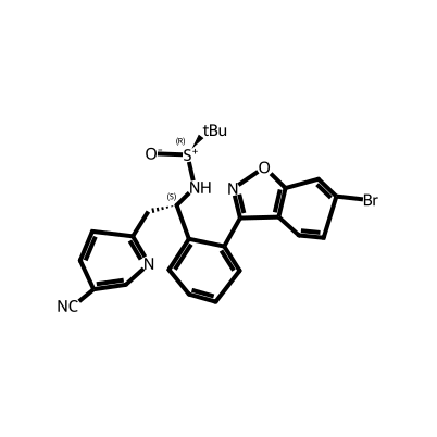 CC(C)(C)[S@+]([O-])N[C@@H](Cc1ccc(C#N)cn1)c1ccccc1-c1noc2cc(Br)ccc12